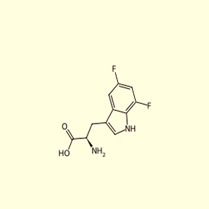 N[C@H](Cc1c[nH]c2c(F)cc(F)cc12)C(=O)O